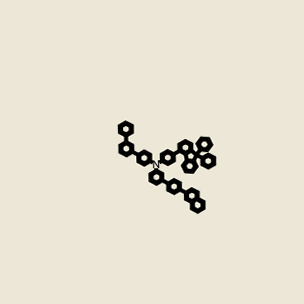 c1ccc(-c2cccc(-c3ccc(N(c4ccc(-c5cccc6c5-c5ccccc5C6(c5ccccc5)c5ccccc5)cc4)c4cccc(-c5ccc(-c6ccc7ccccc7c6)cc5)c4)cc3)c2)cc1